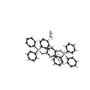 Cc1nc(C[P+](c2ccccc2)(c2ccccc2)c2ccccc2)ccc1C[P+](c1ccccc1)(c1ccccc1)c1ccccc1.[Br-].[Br-]